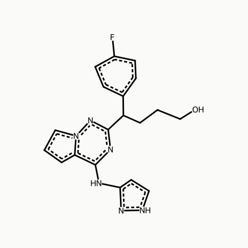 OCCCC(c1ccc(F)cc1)c1nc(Nc2cc[nH]n2)c2cccn2n1